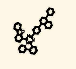 c1ccc(-c2ccccc2-c2nc(-c3ccc(-c4ccc(-c5ccccc5)c5ccccc45)cc3)nc(-c3cccc4c3oc3ccccc34)n2)cc1